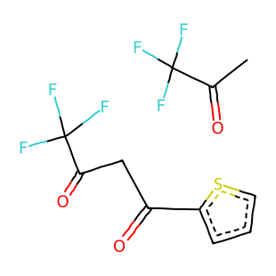 CC(=O)C(F)(F)F.O=C(CC(=O)C(F)(F)F)c1cccs1